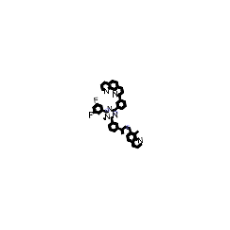 C=N/C(=N\C(=N/Cc1cccc(C(=C)/C=C\c2ccc3cccnc3c2C)c1)c1cccc(-c2ccc3ccc4cccnc4c3n2)c1)c1cc(F)cc(F)c1